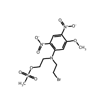 COc1cc(N(CCBr)CCOS(C)(=O)=O)c([N+](=O)[O-])cc1[N+](=O)[O-]